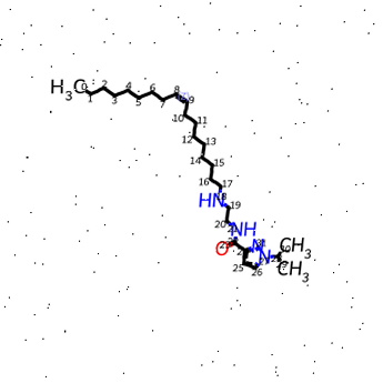 CCCCCCCC/C=C\CCCCCCCCNCCNC(=O)c1ccn(C(C)C)n1